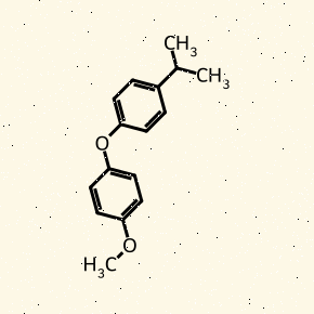 COc1ccc(Oc2ccc(C(C)C)cc2)cc1